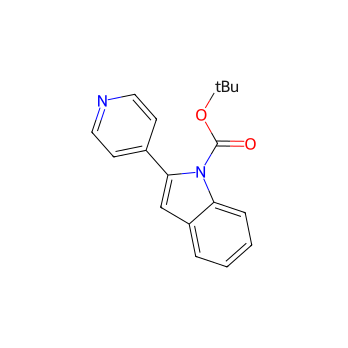 CC(C)(C)OC(=O)n1c(-c2ccncc2)cc2ccccc21